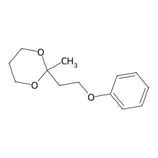 CC1(CCOc2ccccc2)OCCCO1